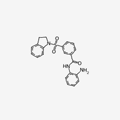 Nc1ccccc1NC(=O)c1cccc(S(=O)(=O)N2CCc3ccccc32)c1